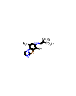 CCOC(=O)C(=CNc1cc(C)c2c(c1C(C)C)SC1=NCCN12)C(=O)OCC